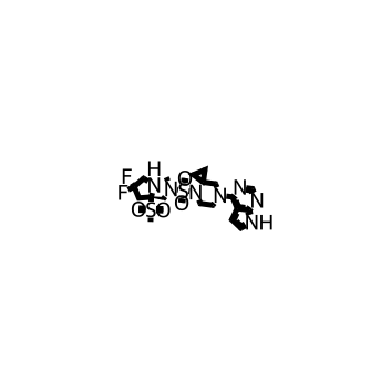 CN(C[C@@]1(S(C)(=O)=O)CC(F)(F)CN1)S(=O)(=O)N1CCN(c2ncnc3[nH]ccc23)CC12CC2